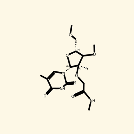 CNC(=O)CO[C@]1(C)C(OC)[C@@H](COC)O[C@H]1n1cc(C)c(=O)[nH]c1=S